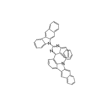 c1ccc(-n2c3cc4ccccc4cc3c3cccc(-c4nc(-n5c6ccccc6c6cc7ccccc7cc65)nc5ccccc45)c32)cc1